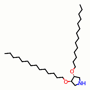 CCCCCCCCCCCCCCO[C@@H]1CNC[C@H]1OCCCCCCCCCCCCCC